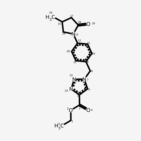 CCOC(=O)c1cn(Cc2ccc(N3CC(C)CC3=O)cc2)nn1